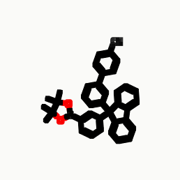 CC1(C)OB(c2cccc(C3(c4cccc(-c5ccc(C#N)cc5)c4)c4ccccc4-c4ccccc43)c2)OC1(C)C